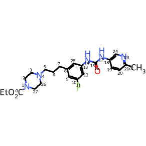 CCOC(=O)N1CCN(CCCc2cc(F)cc(NC(=O)Nc3ccc(C)nc3)c2)CC1